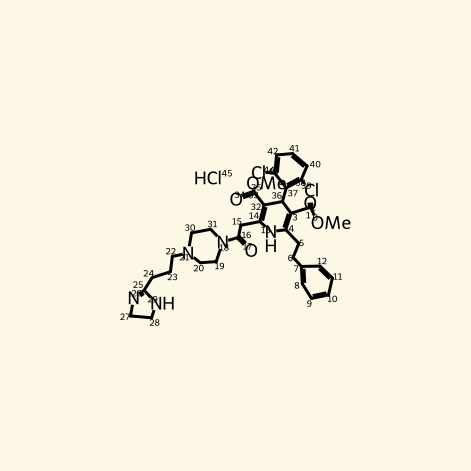 COC(=O)C1=C(CCc2ccccc2)NC(CC(=O)N2CCN(CCCC3=NCCN3)CC2)=C(C(=O)OC)C1c1c(Cl)cccc1Cl.Cl